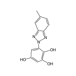 Cc1ccc2nn(-c3cc(O)cc(O)c3O)nc2c1